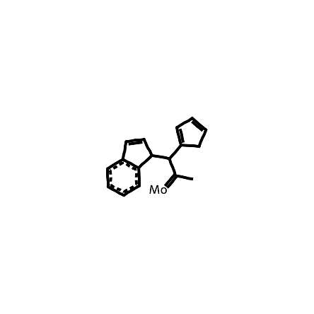 C[C](=[Mo])C(C1=CC=CC1)C1C=Cc2ccccc21